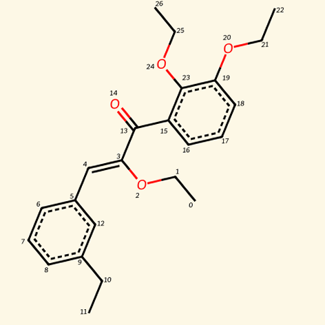 CCOC(=Cc1cccc(CC)c1)C(=O)c1cccc(OCC)c1OCC